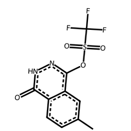 Cc1ccc2c(=O)[nH]nc(OS(=O)(=O)C(F)(F)F)c2c1